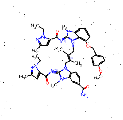 CCn1nc(C)cc1C(=O)/N=c1\n(C)c2cc(C(N)=O)ccc2n1C/C(C)=C(\C)Cn1/c(=N/C(=O)c2cc(C)nn2CC)n(C)c2cccc(OCc3ccc(OC)cc3)c21